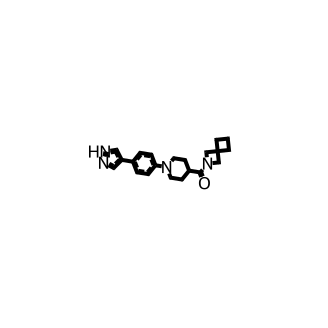 O=C(C1CCN(c2ccc(-c3cn[nH]c3)cc2)CC1)N1CC2(CCC2)C1